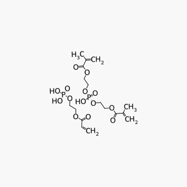 C=C(C)C(=O)OCCOP(=O)(O)OCCOC(=O)C(=C)C.C=CC(=O)OCCOP(=O)(O)O